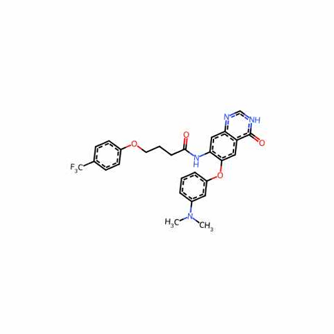 CN(C)c1cccc(Oc2cc3c(=O)[nH]cnc3cc2NC(=O)CCCOc2ccc(C(F)(F)F)cc2)c1